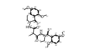 CCN(NC(=O)C(C)C(=O)NN(CC)C(=S)c1cc(OC)ccc1OC)C(=S)c1cc(OC)ccc1OC